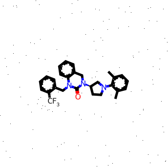 Cc1cccc(C)c1N1CC[C@@H](N2Cc3ccccc3N(Cc3ccccc3C(F)(F)F)C2=O)C1